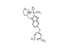 C/C=C\C(=C/C(C)=O)Sc1ccc2c(c1)nc(C(C)(C)C)n2CC1CCOCC1